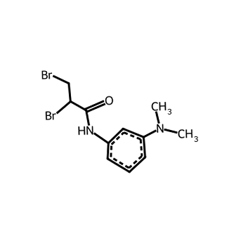 CN(C)c1cccc(NC(=O)C(Br)CBr)c1